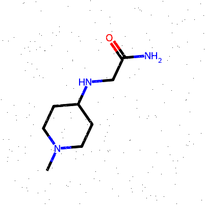 CN1CCC(NCC(N)=O)CC1